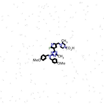 COc1ccc(CN(Cc2ccc(OC)cc2)c2nc(C)nc(-c3cc(CN4CCN(C(=O)O)CC4C)cnc3F)n2)cc1